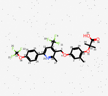 Cc1cc(OCc2c(C(F)(F)F)cc(-c3ccc(OC(F)(F)F)cc3)nc2C)ccc1OC(C)(C)C(=O)O